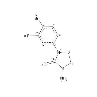 NC1CCN(c2ccc(Br)c(F)c2)C1=O